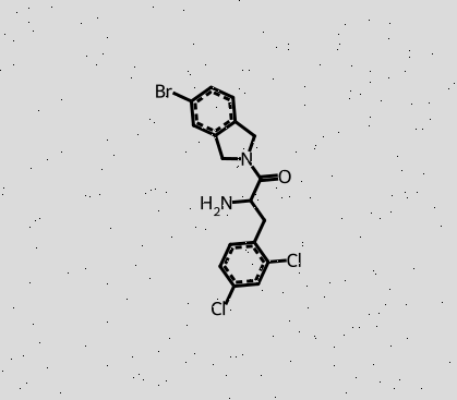 NC(Cc1ccc(Cl)cc1Cl)C(=O)N1Cc2ccc(Br)cc2C1